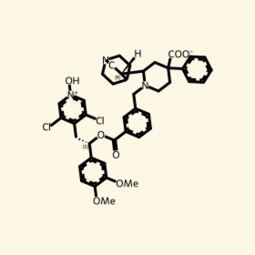 COc1ccc([C@H](Cc2c(Cl)c[n+](O)cc2Cl)OC(=O)c2cccc(CN3CCC(C(=O)[O-])(c4ccccc4)CC3[C@H]3CN4CCC3CC4)c2)cc1OC